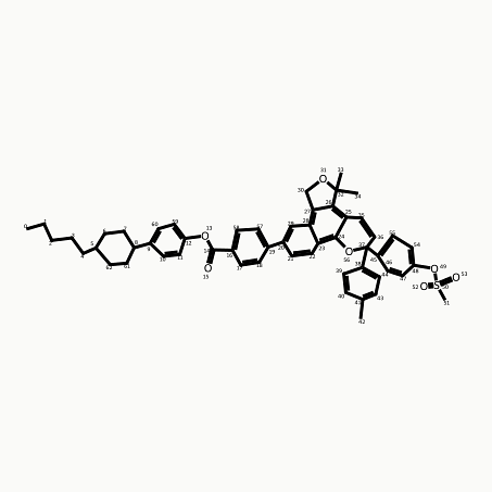 CCCCCC1CCC(c2ccc(OC(=O)c3ccc(-c4ccc5c6c(c7c(c5c4)COC7(C)C)C=CC(c4ccc(C)cc4)(c4ccc(OS(C)(=O)=O)cc4)O6)cc3)cc2)CC1